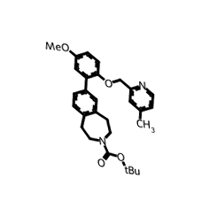 COc1ccc(OCc2cc(C)ccn2)c(-c2ccc3c(c2)CCN(C(=O)OC(C)(C)C)CC3)c1